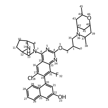 CC(COc1nc(N2CC3CCC(C2)N3)c2cc(Cl)c(-c3cc(O)cc4ccccc34)c(F)c2n1)CN1C(C)CC2CC1CC(C)O2